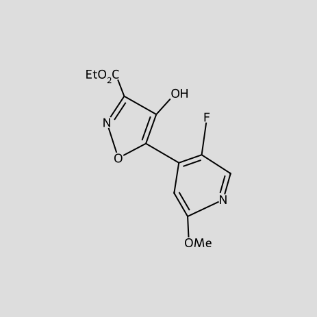 CCOC(=O)c1noc(-c2cc(OC)ncc2F)c1O